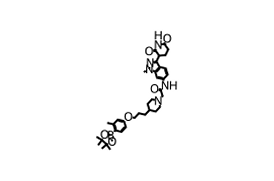 Cc1cc(OCCCC2CCN(CC(=O)Nc3ccc4c(C5CCC(=O)NC5=O)nn(C)c4c3)CC2)ccc1B1OC(C)(C)C(C)(C)O1